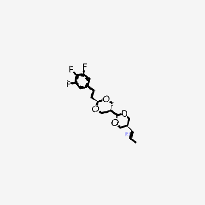 C/C=C/[C@H]1CO[C@H]([C@H]2CO[C@H](CCc3cc(F)c(F)c(F)c3)OC2)OC1